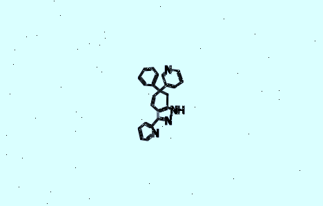 C1=CC(c2ccccc2)(c2cccnc2)Cc2[nH]nc(-c3ccccn3)c21